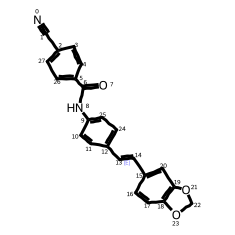 N#Cc1ccc(C(=O)Nc2ccc(/C=C/c3ccc4c(c3)OCO4)cc2)cc1